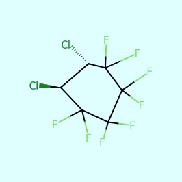 FC1(F)[C@@H](Cl)[C@H](Cl)C(F)(F)C(F)(F)C1(F)F